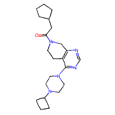 O=C(CC1CCCC1)N1CCc2c(ncnc2N2CCN(C3CCC3)CC2)C1